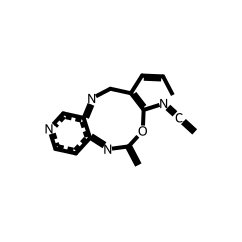 C=C=N/C1=C(\C=C/C)C/N=c2/cncc/c2=N/C(=C)O1